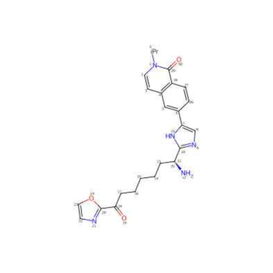 CC(C)n1ccc2cc(-c3cnc([C@@H](N)CCCCCC(=O)c4ncco4)[nH]3)ccc2c1=O